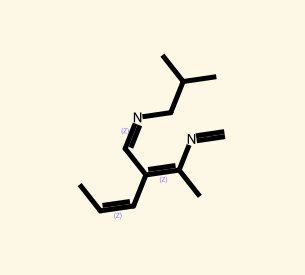 C=N/C(C)=C(/C=C\C)\C=N/CC(C)C